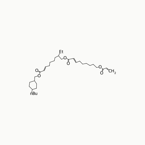 C=CC(=O)OCCCCCC/C=C/C(=O)OCC(CC)CCCC/C=C/C(=O)OCC1CCC(CCCC)CC1